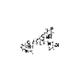 Nc1ccccc1NC(=O)C=Cc1ccc(C(CCN2CCCC(O)C2)C(=O)Nc2ccc(Br)cc2)cc1